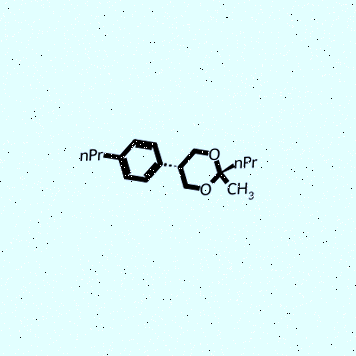 CCCc1ccc([C@H]2CO[C@](C)(CCC)OC2)cc1